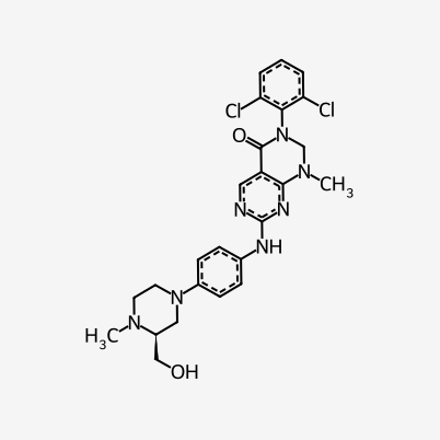 CN1CN(c2c(Cl)cccc2Cl)C(=O)c2cnc(Nc3ccc(N4CCN(C)[C@H](CO)C4)cc3)nc21